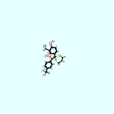 COc1ccc(C2(C(O)c3ccc(C(F)(F)F)cc3)SCCCS2)cc1C=O